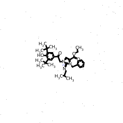 CCOC(=O)c1cn(CC(=O)c2cc(C(C)(C)C)c(O)c(C(C)(C)C)c2)/c(=N/CC(C)C)n1Cc1ccccc1